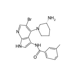 Cc1cccc(C(=O)Nc2c[nH]c3ncc(Br)c(N4CCC[C@@H](N)C4)c23)c1